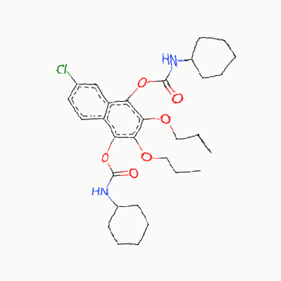 CCCOc1c(OCCC)c(OC(=O)NC2CCCCC2)c2cc(Cl)ccc2c1OC(=O)NC1CCCCC1